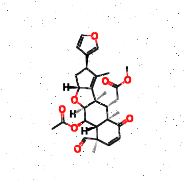 COC(=O)C[C@H]1[C@]2(C)C3=C(C)[C@H](c4ccoc4)C[C@H]3O[C@@H]2[C@H](OC(C)=O)[C@H]2[C@](C)(C=O)C=CC(=O)[C@]12C